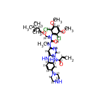 C=CC(=O)Nc1cc(N2CCNCC2)ccc1Nc1cc(N(C)C(=O)N(COCC[Si](C)(C)C)c2c(Cl)c(OC)cc(OC)c2Cl)ncn1